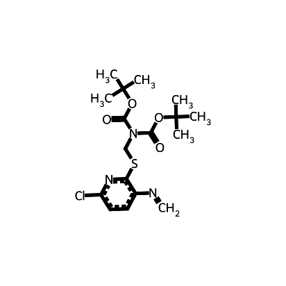 C=Nc1ccc(Cl)nc1SCN(C(=O)OC(C)(C)C)C(=O)OC(C)(C)C